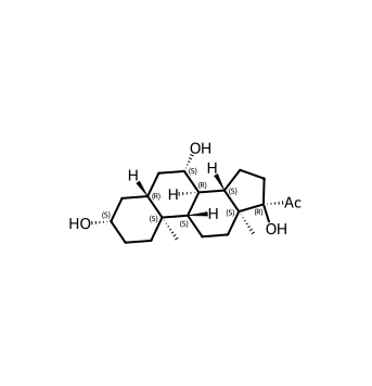 CC(=O)[C@@]1(O)CC[C@H]2[C@@H]3[C@@H](O)C[C@H]4C[C@@H](O)CC[C@]4(C)[C@H]3CC[C@@]21C